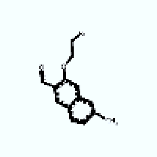 Cc1ccc2cc(C=O)c(OCCBr)cc2c1